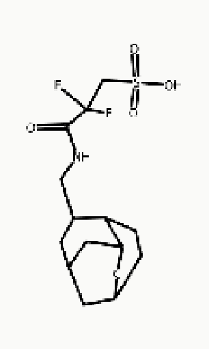 O=C(NCC1CC2CC3CCC1C(C3)C2)C(F)(F)CS(=O)(=O)O